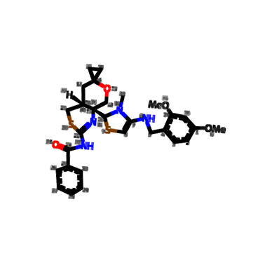 COc1ccc(CNC2=CSC([C@]34COC5(CC5)C[C@H]3CSC(NC(=O)c3ccccc3)=N4)N2C)c(OC)c1